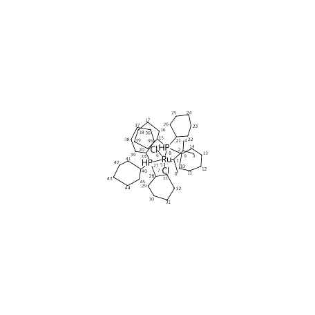 C[C](C(C)C)=[Ru]([Cl])([Cl])([PH](C1CCCCC1)(C1CCCCC1)C1CCCCC1)[PH](C1CCCCC1)(C1CCCCC1)C1CCCCC1